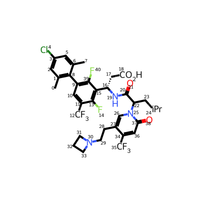 Cc1cc(Cl)cc(C)c1-c1cc(C(F)(F)F)c(F)c([C@H](CC(=O)O)NC(=O)C(CC(C)C)n2cc(CCN3CCC3)c(C(F)(F)F)cc2=O)c1F